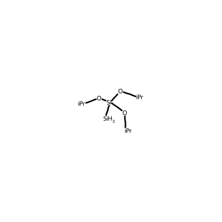 CC(C)O[Si]([SiH3])(OC(C)C)OC(C)C